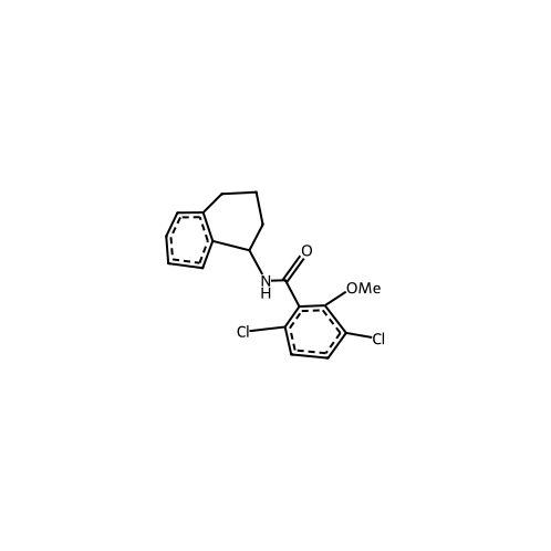 COc1c(Cl)ccc(Cl)c1C(=O)NC1CCCc2ccccc21